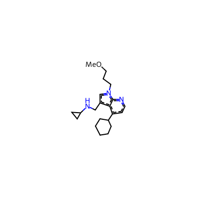 COCCCn1cc(CNC2CC2)c2c(C3CCCCC3)ccnc21